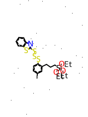 CCO[Si](CCCc1cc(C)ccc1SSSc1nc2ccccc2s1)(OCC)OCC